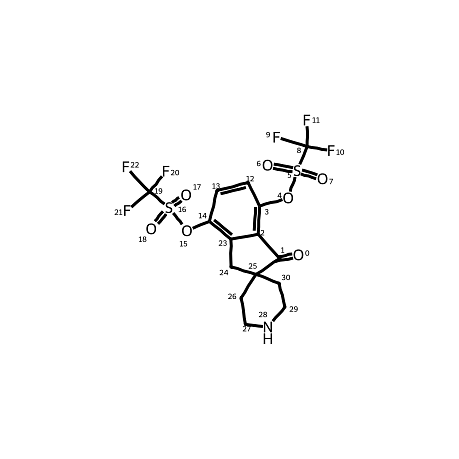 O=C1c2c(OS(=O)(=O)C(F)(F)F)ccc(OS(=O)(=O)C(F)(F)F)c2CC12CCNCC2